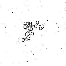 CC1(C)O[C@@H]2[C@H](O1)[C@@H](COC(=O)[C@H]1CCCO1)O[C@H]2n1ccc(NO)nc1=O